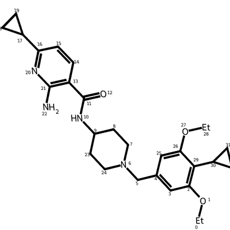 CCOc1cc(CN2CCC(NC(=O)c3ccc(C4CC4)nc3N)CC2)cc(OCC)c1C1CC1